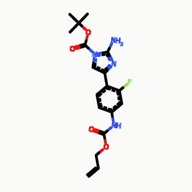 C=CCOC(=O)Nc1ccc(-c2cn(C(=O)OC(C)(C)C)c(N)n2)c(F)c1